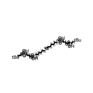 CC(C)(C)CCOP(=O)(O)OCCOP(=O)(O)OCCCCCCSSCCCCCCOP(=O)(O)OCCOP(=O)(O)OCCC(C)(C)C